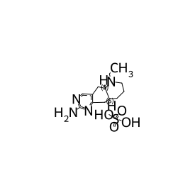 CCN1CCC[C@H]2Cc3nc(N)ncc3C[C@@H]21.O=S(=O)(O)O